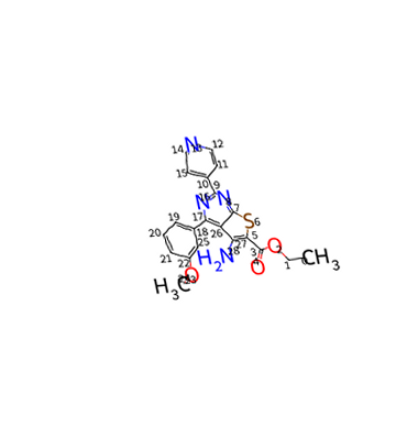 CCOC(=O)c1sc2nc(-c3ccncc3)nc(-c3cccc(OC)c3)c2c1N